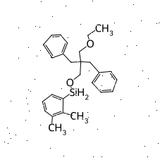 CCOCC(CO[SiH2]c1cccc(C)c1C)(Cc1ccccc1)Cc1ccccc1